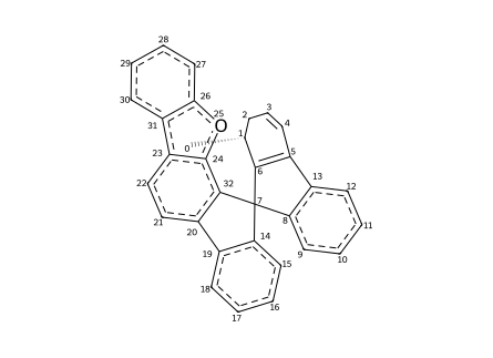 C[C@@H]1CC=CC2=C1C1(c3ccccc32)c2ccccc2-c2ccc3c(oc4ccccc43)c21